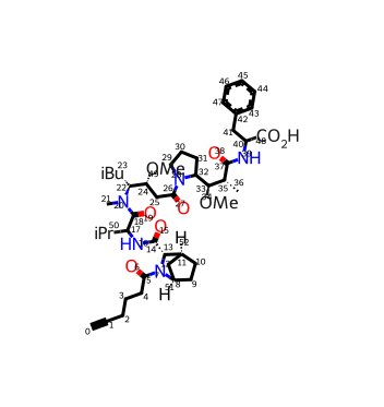 C#CCCCC(=O)N1[C@@H]2CC[C@@H](C2)[C@H]1C(=O)NC(C(=O)N(C)[C@@H]([C@@H](C)CC)[C@@H](CC(=O)N1CCCC1[C@H](OC)[C@@H](C)C(=O)NC(Cc1ccccc1)C(=O)O)OC)C(C)C